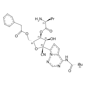 CC[C@@H](C)C(=O)Nc1ncnn2c([C@]3(C#N)O[C@H](COC(=O)Cc4ccccc4)[C@@H](OC(=O)[C@@H](N)C(C)C)[C@H]3O)ccc12